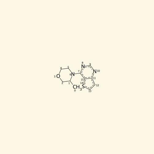 CC1COCCN1c1ncnc2ccsc12